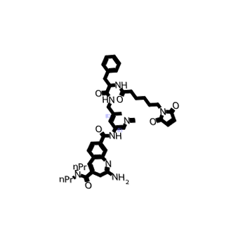 C=N/C=C(\C=C(/C)CNC(=O)C(Cc1ccccc1)NC(=O)CCCCCN1C(=O)C=CC1=O)NC(=O)c1ccc2c(c1)N=C(N)CC(C(=O)N(CCC)CCC)=C2